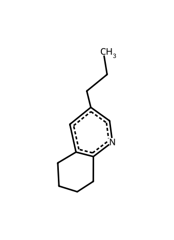 CCCc1cnc2c(c1)CCCC2